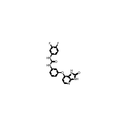 O=C(Nc1cccc(Oc2ccnc3[nH]c(=O)[nH]c23)c1)Nc1ccc(F)c(F)c1